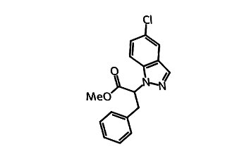 COC(=O)C(Cc1ccccc1)n1ncc2cc(Cl)ccc21